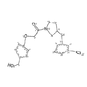 O=C(COc1ccc(CO)cc1)N1CCC(Sc2cccc(Cl)c2)C1